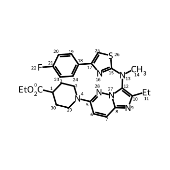 CCOC(=O)C1CCN(c2ccc3nc(CC)c(N(C)c4nc(-c5ccc(F)cc5)cs4)n3n2)CC1